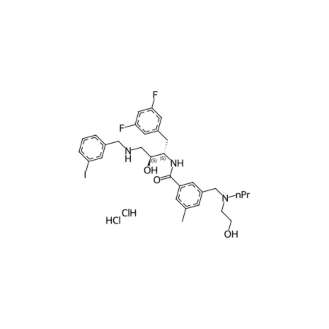 CCCN(CCO)Cc1cc(C)cc(C(=O)N[C@@H](Cc2cc(F)cc(F)c2)[C@@H](O)CNCc2cccc(I)c2)c1.Cl.Cl